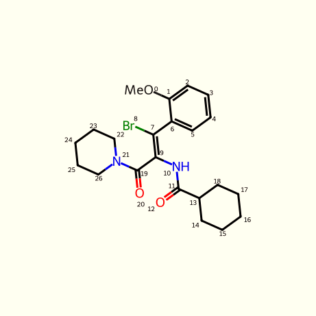 COc1ccccc1C(Br)=C(NC(=O)C1CCCCC1)C(=O)N1CCCCC1